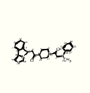 CN(CC(=O)N1CCC(C(=O)CC2c3ccccc3-c3cncn32)CC1)c1ccccc1